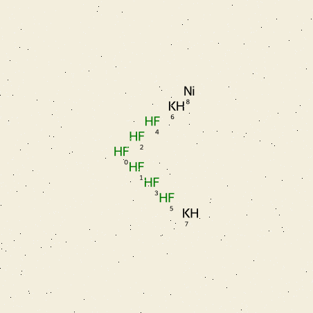 F.F.F.F.F.F.[KH].[KH].[Ni]